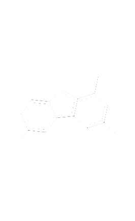 Cc1ccc2oc3c(C)cc(C)cc3c2c1